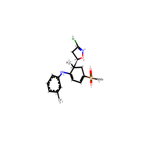 CNS(=O)(=O)C1=CC=C(Nc2cccc(C(F)(F)F)c2)C(C)([C@H]2CC(Br)=NO2)C1